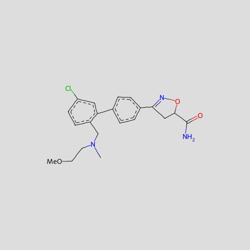 COCCN(C)Cc1ccc(Cl)cc1-c1ccc(C2=NOC(C(N)=O)C2)cc1